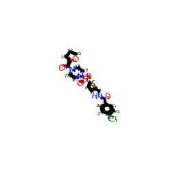 O=C(NCc1ccc(S(=O)(=O)N2CCN(C(=O)C3CCCO3)CC2)s1)c1ccc(Cl)cc1